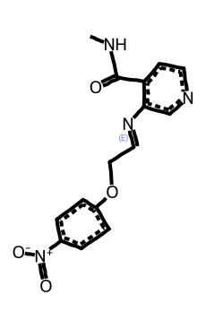 CNC(=O)c1ccncc1/N=C/COc1ccc([N+](=O)[O-])cc1